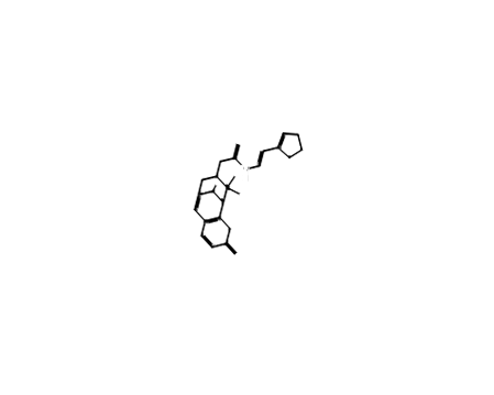 C=C1C=CC2=C(C1)C1C(C)C(=C2)CC(CC(=C)N/C=C/C2=CCCC2)C1(C)C